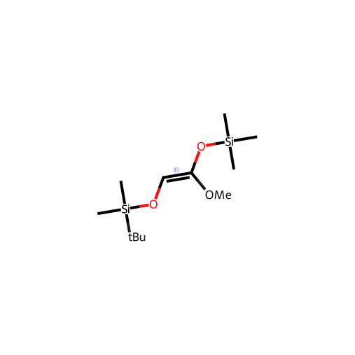 CO/C(=C\O[Si](C)(C)C(C)(C)C)O[Si](C)(C)C